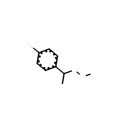 CC(SOS(=O)(=O)O)c1ccc([N+](=O)[O-])cc1